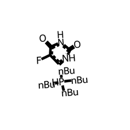 CCCC[PH](CCCC)(CCCC)CCCC.O=c1[nH]cc(F)c(=O)[nH]1